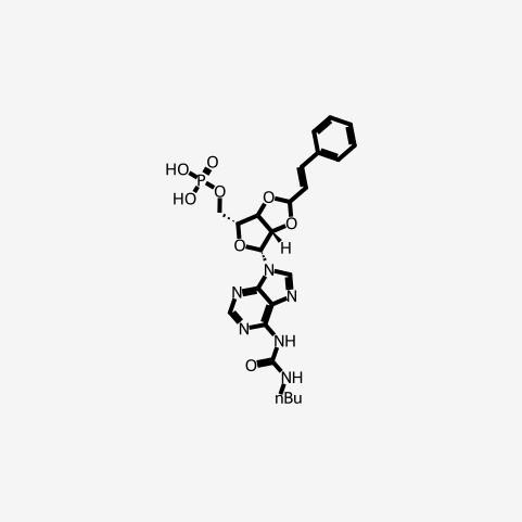 CCCCNC(=O)Nc1ncnc2c1ncn2[C@@H]1O[C@H](COP(=O)(O)O)C2OC(/C=C/c3ccccc3)O[C@@H]21